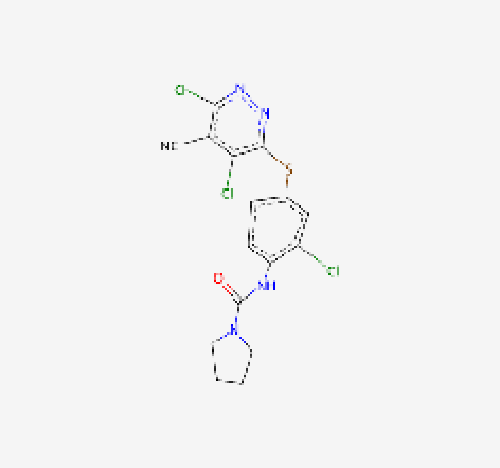 N#Cc1c(Cl)nnc(Sc2ccc(NC(=O)N3CCCC3)c(Cl)c2)c1Cl